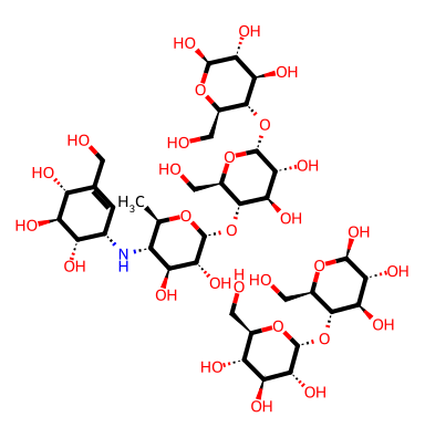 C[C@H]1O[C@H](O[C@H]2[C@H](O)[C@@H](O)[C@@H](O[C@H]3[C@H](O)[C@@H](O)[C@H](O)O[C@@H]3CO)O[C@@H]2CO)[C@H](O)[C@@H](O)[C@@H]1N[C@H]1C=C(CO)[C@@H](O)[C@H](O)[C@H]1O.OC[C@H]1O[C@H](O[C@H]2[C@H](O)[C@@H](O)[C@H](O)O[C@@H]2CO)[C@H](O)[C@@H](O)[C@@H]1O